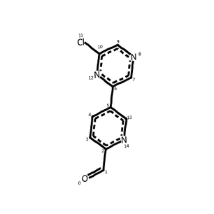 O=Cc1ccc(-c2cncc(Cl)n2)cn1